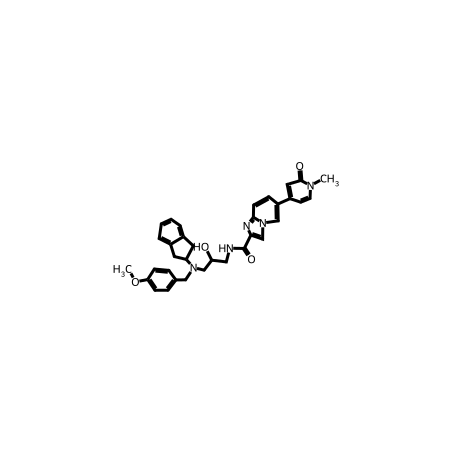 COc1ccc(CN(CC(O)CNC(=O)c2cn3cc(-c4ccn(C)c(=O)c4)ccc3n2)C2Cc3ccccc3C2)cc1